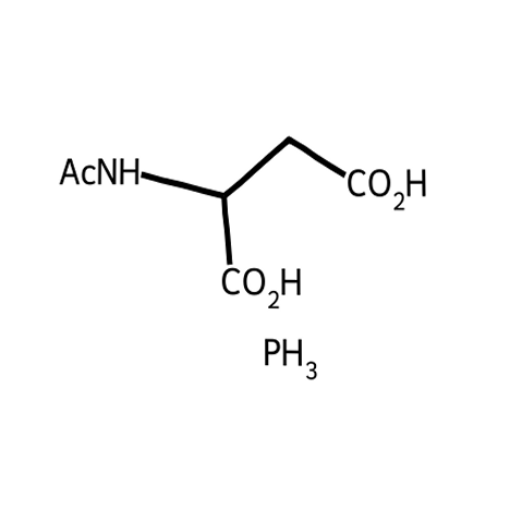 CC(=O)NC(CC(=O)O)C(=O)O.P